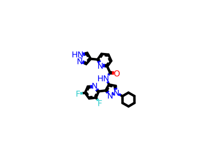 O=C(Nc1cn(C2CCCCC2)nc1-c1ncc(F)cc1F)c1cccc(-c2cn[nH]c2)n1